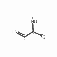 CCC(C=N)N=O